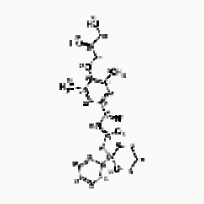 Cc1cc(-c2noc(CC3(c4ccccc4)CCCCO3)n2)cc(C)c1OC[C@@H](O)CO